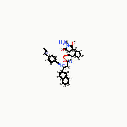 C/C=C/c1ccc(C#[N+]C(CC(=O)N[C@H](C(=O)[C@@H]2C(=O)N(N)C(=O)[C@H]2C)C2CCCC2)c2ccc3ccccc3c2)cc1